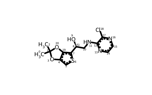 CC1(C)Oc2csc([C@@H](O)CNc3nccnc3Cl)c2O1